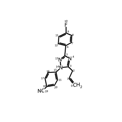 C=CCc1nc(-c2ccc(F)cc2)nn1-c1ccc(C#N)cc1